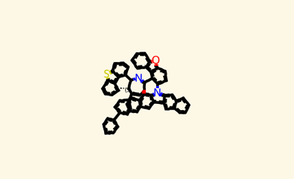 C[C@H]1C(c2ccc(-c3ccccc3)cc2)=CCC(c2c(-n3c4cc5ccccc5cc4c4cc5ccccc5cc43)ccc3oc4ccccc4c23)=NC1c1cccc2sc3ccccc3c12